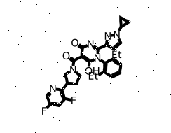 CCc1cccc(CC)c1-n1c(-c2ccn(C3CC3)n2)nc(=O)c(C(=O)N2CCC(c3ncc(F)cc3F)C2)c1O